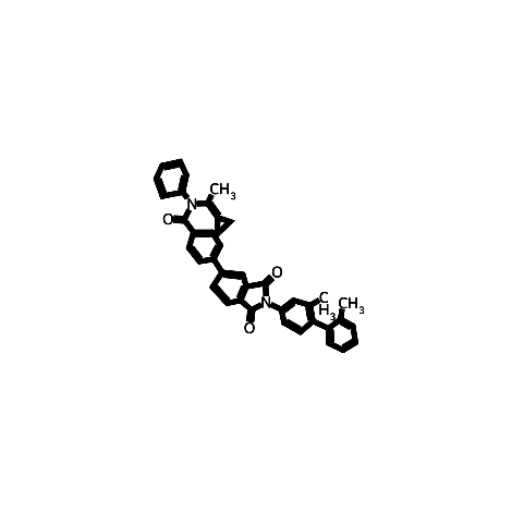 CC(=C1CC1)N(C(=O)c1ccc(-c2ccc3c(c2)C(=O)N(c2ccc(-c4ccccc4C)c(C)c2)C3=O)cc1)c1ccccc1